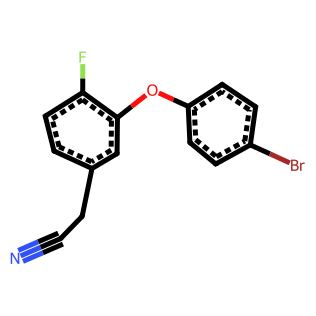 N#CCc1ccc(F)c(Oc2ccc(Br)cc2)c1